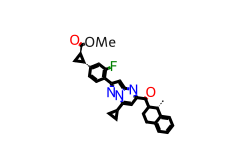 COC(=O)[C@@H]1C[C@H]1c1ccc(-c2cc3nc(C(=O)C4CCc5ccccc5[C@H]4C)cc(C4CC4)n3n2)c(F)c1